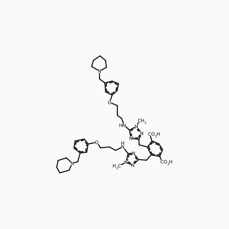 Cn1nc(Cc2c(C(=O)O)ccc(C(=O)O)c2Cc2nc(NCCCOc3cccc(CN4CCCCC4)c3)n(C)n2)nc1NCCCOc1cccc(CN2CCCCC2)c1